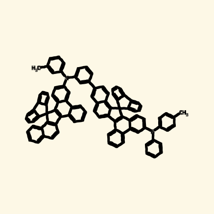 Cc1ccc(N(c2ccccc2)c2ccc3c4c(c5ccccc5c3c2)-c2ccc3cc(-c5cccc(N(c6cccc(C)c6)c6ccc7c8c(c9ccccc9c7c6)-c6ccc7ccccc7c6C86c7ccccc7-c7ccccc76)c5)ccc3c2C42c3ccccc3-c3ccccc32)cc1